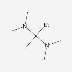 CCC(C)(N(C)C)N(C)C